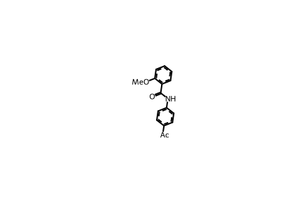 COc1ccccc1C(=O)Nc1ccc(C(C)=O)cc1